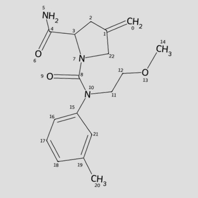 C=C1CC(C(N)=O)N(C(=O)N(CCOC)c2cccc(C)c2)C1